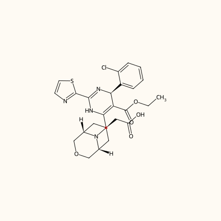 CCOC(=O)C1=C(CN2[C@@H]3COC[C@H]2C[C@H](CC(=O)O)C3)NC(c2nccs2)=N[C@H]1c1ccccc1Cl